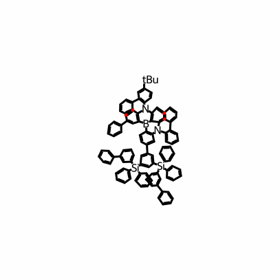 CC(C)(C)c1ccc(N2c3ccc(-c4ccccc4)cc3B3c4ccc(-c5cc([Si](c6ccccc6)(c6ccccc6)c6cccc(-c7ccccc7)c6)cc([Si](c6ccccc6)(c6ccccc6)c6cccc(-c7ccccc7)c6)c5)cc4N(c4ccccc4-c4ccccc4)c4cccc2c43)c(-c2ccccc2)c1